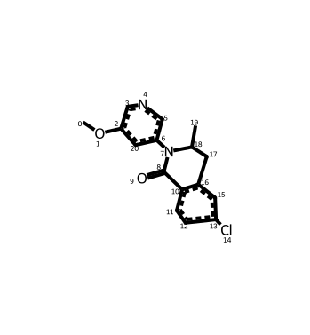 COc1cncc(N2C(=O)c3ccc(Cl)cc3CC2C)c1